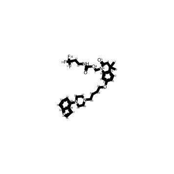 CC1(C)CC(=O)N(COC(=O)NCCC(F)(F)F)c2cc(OCCCCN3CCN(c4cccc5sccc45)CC3)ccc21